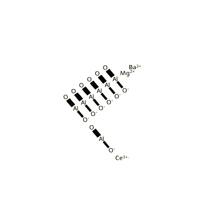 [Ba+2].[Ce+3].[Mg+2].[O]=[Al][O-].[O]=[Al][O-].[O]=[Al][O-].[O]=[Al][O-].[O]=[Al][O-].[O]=[Al][O-].[O]=[Al][O-]